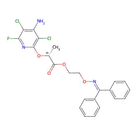 C[C@@H](Oc1nc(F)c(Cl)c(N)c1Cl)C(=O)OCCON=C(c1ccccc1)c1ccccc1